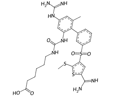 CSc1sc(C(=N)N)cc1S(=O)(=O)c1cccc(-c2c(C)cc(NC(=N)N)cc2NC(=O)NCCCCCC(=O)O)c1